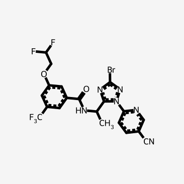 CC(NC(=O)c1cc(OCC(F)F)cc(C(F)(F)F)c1)c1nc(Br)nn1-c1ccc(C#N)cn1